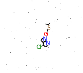 CC(C)SCCOCn1ccc2c(Cl)ccnc21